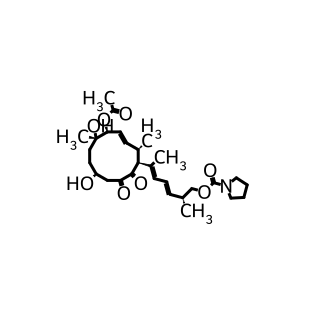 CC(=O)O[C@H]1/C=C/[C@H](C)[C@@H](/C(C)=C/C=C/[C@@H](C)COC(=O)N2CCCC2)C(=O)C(=O)C[C@@H](O)CC[C@]1(C)O